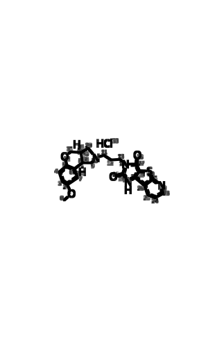 COc1ccc2c(c1)[C@@H]1CN(CCCn3c(=O)[nH]c4c(sc5ncccc54)c3=O)C[C@@H]1CO2.Cl